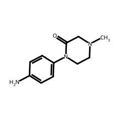 CN1CCN(c2ccc(N)cc2)C(=O)C1